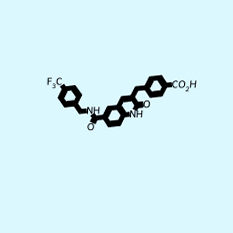 O=C(O)c1ccc(Cc2cc3cc(C(=O)NCc4ccc(C(F)(F)F)cc4)ccc3[nH]c2=O)cc1